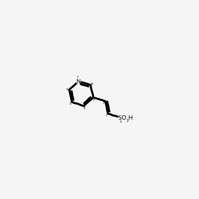 O=S(=O)(O)/C=C/c1cccnc1